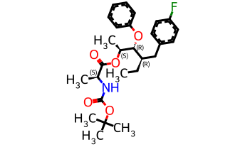 CC[C@H](Cc1ccc(F)cc1)[C@@H](Oc1ccccc1)[C@H](C)OC(=O)[C@H](C)NC(=O)OC(C)(C)C